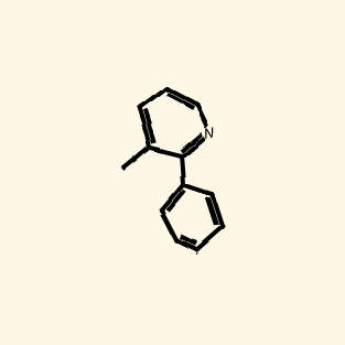 Cc1cccnc1-c1cc[c]cc1